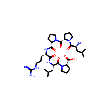 CC(C)C[C@H](NC(=O)[C@H](CCCNC(=N)N)NC(=O)[C@@H]1CCCN1C(=O)[C@@H]1CCCN1C(=O)[C@@H](N)CC(C)C)C(=O)N1CCC[C@H]1C(=O)O